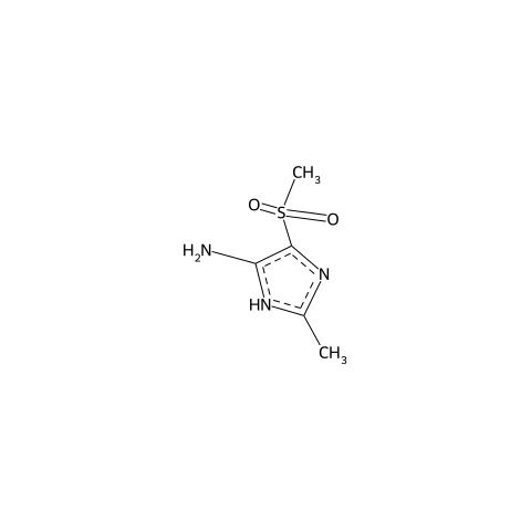 Cc1nc(S(C)(=O)=O)c(N)[nH]1